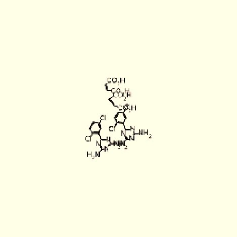 Nc1nc(N)nc(-c2cc(Cl)ccc2Cl)n1.Nc1nc(N)nc(-c2cc(Cl)ccc2Cl)n1.O=C(O)/C=C\C(=O)O.O=C(O)/C=C\C(=O)O